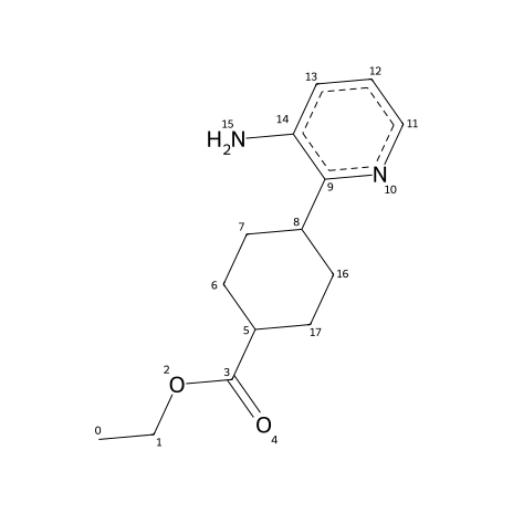 CCOC(=O)C1CCC(c2ncccc2N)CC1